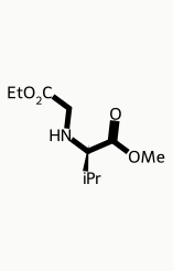 CCOC(=O)CN[C@@H](C(=O)OC)C(C)C